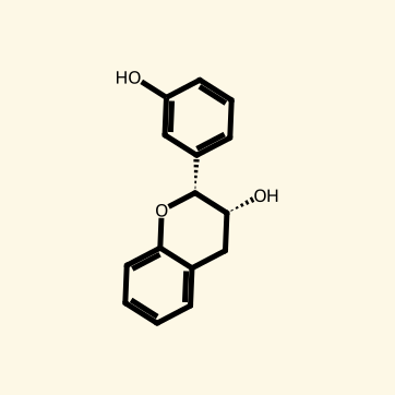 Oc1cccc([C@H]2Oc3ccccc3C[C@H]2O)c1